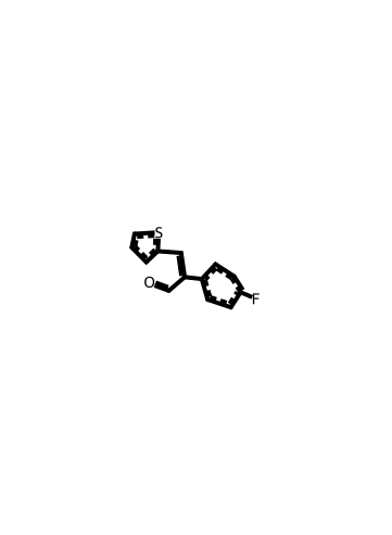 O=CC(=Cc1cccs1)c1ccc(F)cc1